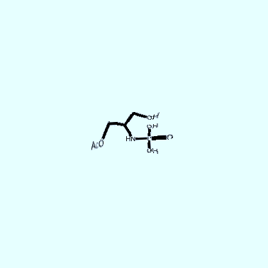 CC(=O)OCC(CO)NP(=O)(O)O